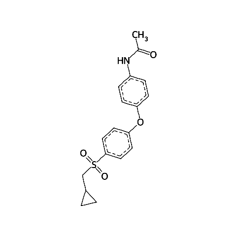 CC(=O)Nc1ccc(Oc2ccc(S(=O)(=O)CC3CC3)cc2)cc1